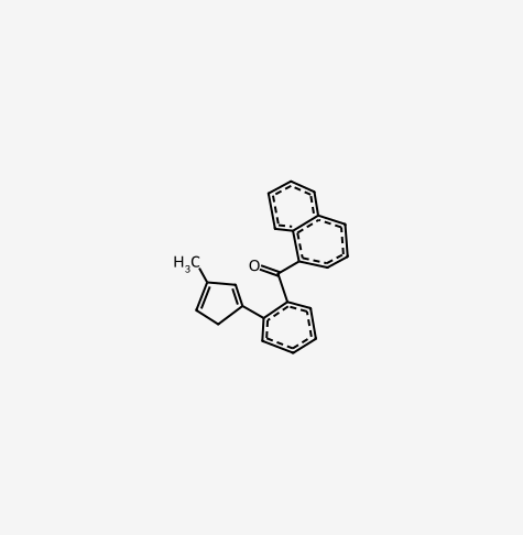 CC1=CCC(c2ccccc2C(=O)c2cccc3ccccc23)=C1